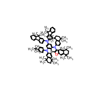 CC(C)(C)c1ccc(N2c3cc4c(cc3B3c5oc6cc7c(cc6c5N(c5ccc6c(c5)C(C)(C)CCC6(C)C)c5cc(N(c6ccc8c(c6)C(C)(C)c6ccccc6-8)c6ccc8c(c6)C(C)(C)c6ccccc6-8)cc2c53)C(C)(C)CCC7(C)C)C(C)(C)CCC4(C)C)cc1